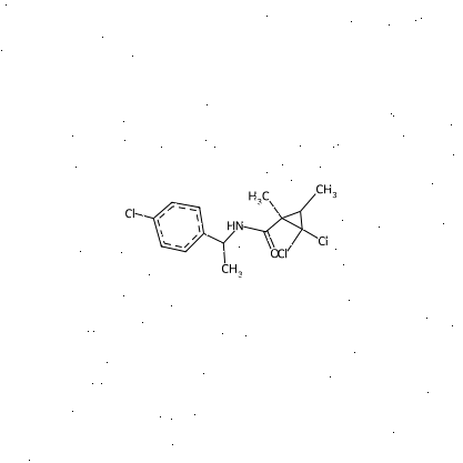 CC(NC(=O)C1(C)C(C)C1(Cl)Cl)c1ccc(Cl)cc1